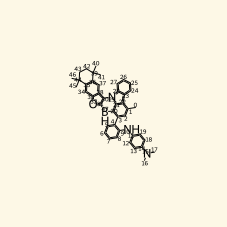 Cc1cc(-c2ccccc2Nc2ccc(N(C)C)cc2)c2c3c1c1ccccc1n3-c1c(oc3cc4c(cc13)C(C)(C)CCC4(C)C)B2